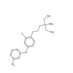 NC(CO)(CO)CCCc1ccc(Oc2cccc(C(F)(F)F)c2)cc1F